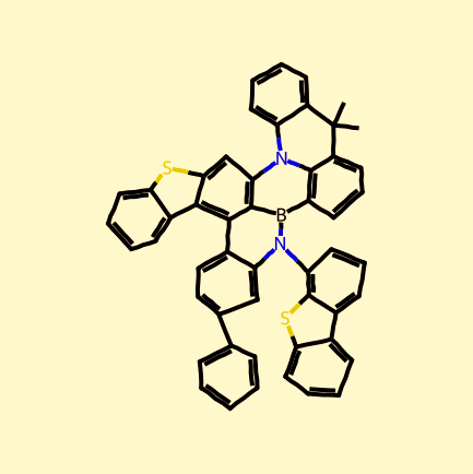 CC1(C)c2ccccc2N2c3cc4sc5ccccc5c4c4c3B(c3cccc1c32)N(c1cccc2c1sc1ccccc12)c1cc(-c2ccccc2)ccc1-4